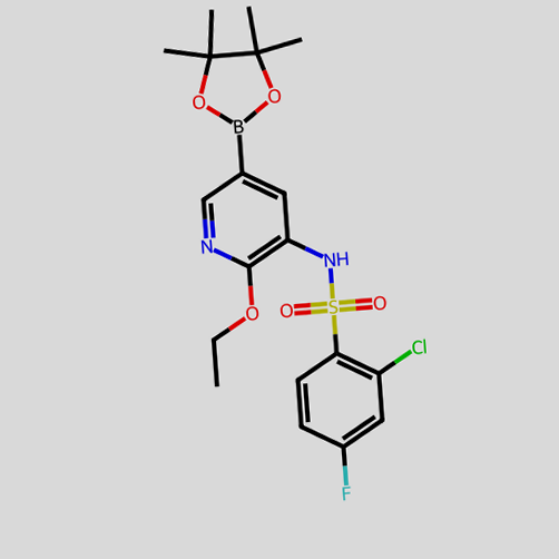 CCOc1ncc(B2OC(C)(C)C(C)(C)O2)cc1NS(=O)(=O)c1ccc(F)cc1Cl